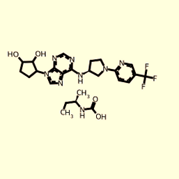 CC[C@@H](C)NC(=O)O.OC1CCC(n2cnc3c(N[C@H]4CCN(c5ccc(C(F)(F)F)cn5)C4)ncnc32)C1O